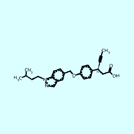 CC#C[C@@H](CC(=O)O)c1ccc(OCc2ccc3c(cnn3CCC(C)C)c2)cc1